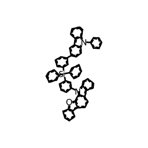 c1ccc(-n2c3ccccc3c3cc(-c4cccc([Si](c5ccccc5)(c5ccccc5)c5cccc(-n6c7ccccc7c7ccc8c9ccccc9oc8c76)c5)c4)ccc32)cc1